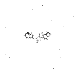 CN(CCc1ccc2ncccc2c1)C[C@@H]1CCCc2c1ccc1c2OOC1